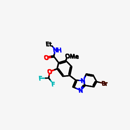 CCNC(=O)c1c(OC)cc(-c2cnc3cc(Br)ccn23)cc1OC(F)F